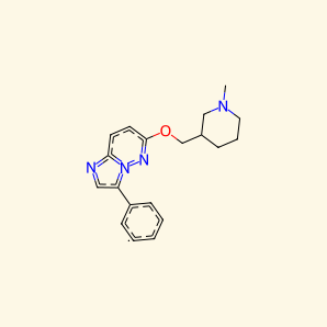 CN1CCCC(COc2ccc3ncc(-c4c[c]ccc4)n3n2)C1